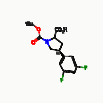 CC(C)(C)OC(=O)N1C[C@H](c2cc(F)cc(F)c2)CC1C(=O)O